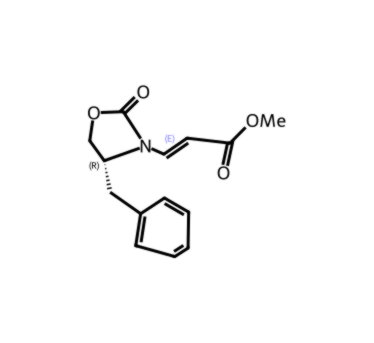 COC(=O)/C=C/N1C(=O)OC[C@H]1Cc1ccccc1